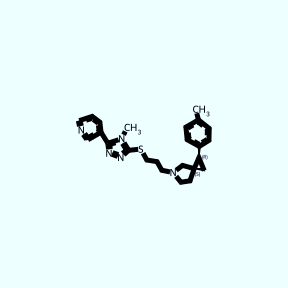 Cc1ccc([C@H]2C[C@]23CCN(CCCSc2nnc(-c4cccnc4)n2C)C3)cc1